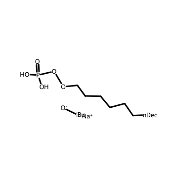 CCC(C)[O-].CCCCCCCCCCCCCCCCOOP(=O)(O)O.[Na+]